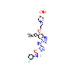 COc1cc2c(Nc3cnn(CC(=O)Nc4cccc(F)c4)c3)ncnc2cc1OCCCN1CCC(CO)CC1